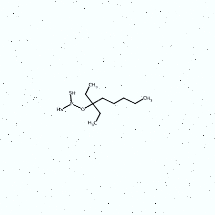 CCCCCC(CC)(CC)OP(S)S